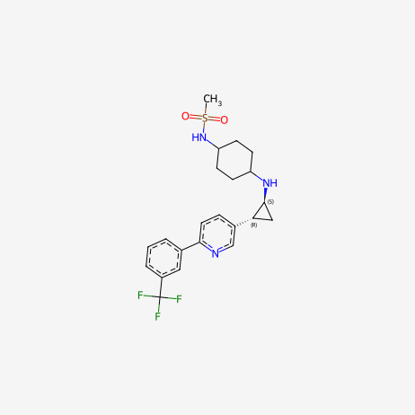 CS(=O)(=O)NC1CCC(N[C@H]2C[C@@H]2c2ccc(-c3cccc(C(F)(F)F)c3)nc2)CC1